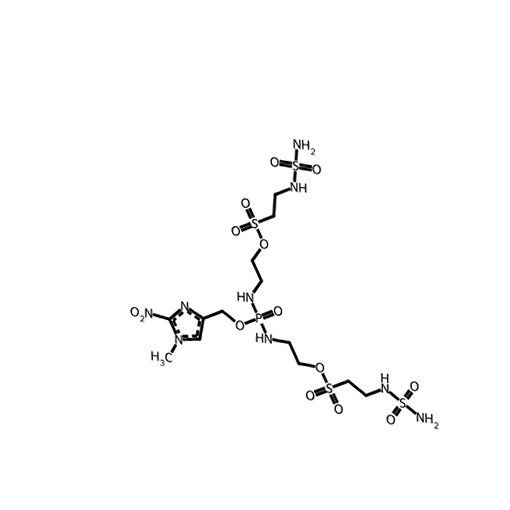 Cn1cc(COP(=O)(NCCOS(=O)(=O)CCNS(N)(=O)=O)NCCOS(=O)(=O)CCNS(N)(=O)=O)nc1[N+](=O)[O-]